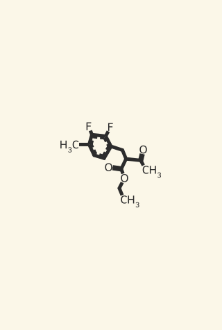 CCOC(=O)C(Cc1ccc(C)c(F)c1F)C(C)=O